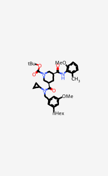 CCCCCCc1cc(CN(C(=O)[C@@H]2C[C@H](C(=O)Nc3c(C)cccc3OC)CN(C(=O)OC(C)(C)C)C2)C2CC2)cc(OC)c1